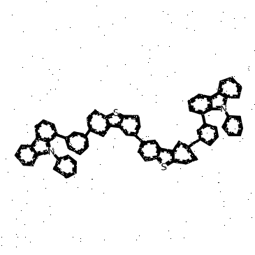 c1ccc(-n2c3ccccc3c3cccc(-c4cccc(-c5ccc6sc7ccc(-c8ccc9sc%10ccc(-c%11cccc(-c%12cccc%13c%14ccccc%14n(-c%14ccccc%14)c%12%13)c%11)cc%10c9c8)cc7c6c5)c4)c32)cc1